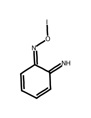 N=C1C=CC=C/C1=N/OI